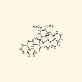 COc1ccc(P(=O)(c2ccc3ccc4cccc5ccc2c3c45)c2ccc3ccc4cccc5ccc2c3c45)cc1OC